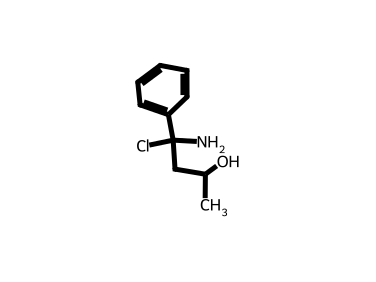 CC(O)CC(N)(Cl)c1ccccc1